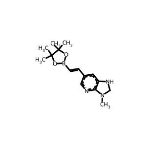 CN1CNc2cc(/C=C/B3OC(C)(C)C(C)(C)O3)cnc21